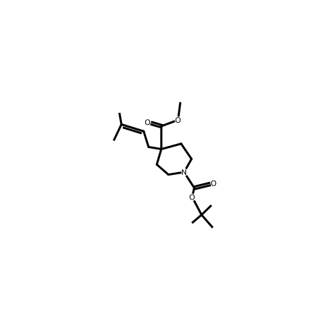 COC(=O)C1(CC=C(C)C)CCN(C(=O)OC(C)(C)C)CC1